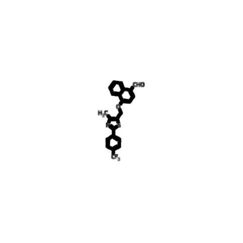 Cc1nc(-c2ccc(C(F)(F)F)cc2)sc1COc1ccc(C=O)c2ccccc12